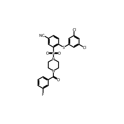 N#Cc1ccc(Sc2cc(Cl)cc(Cl)c2)c(S(=O)(=O)N2CCN(C(=O)c3cccc(F)c3)CC2)c1